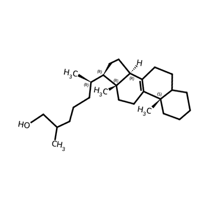 CC(CO)CCC[C@@H](C)[C@H]1CC[C@H]2C3=C(CC[C@]12C)[C@@]1(C)CCCCC1CC3